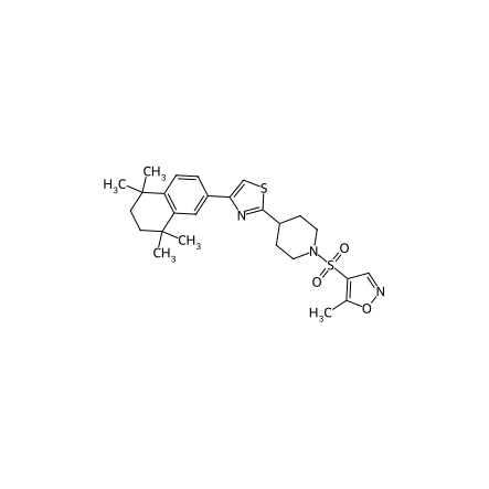 Cc1oncc1S(=O)(=O)N1CCC(c2nc(-c3ccc4c(c3)C(C)(C)CCC4(C)C)cs2)CC1